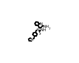 Nc1nc2ccccc2c2c1[nH]c(=S)n2Cc1ccc(CN2CCCC2)cc1